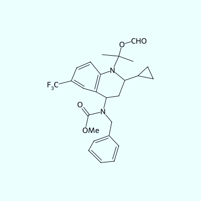 COC(=O)N(Cc1ccccc1)C1CC(C2CC2)N(C(C)(C)OC=O)c2ccc(C(F)(F)F)cc21